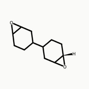 C1CC2OC2CC1C1CC[C@@H]2OC2C1